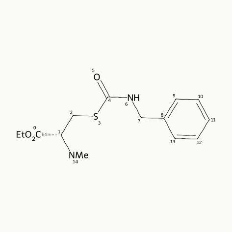 CCOC(=O)[C@H](CSC(=O)NCc1ccccc1)NC